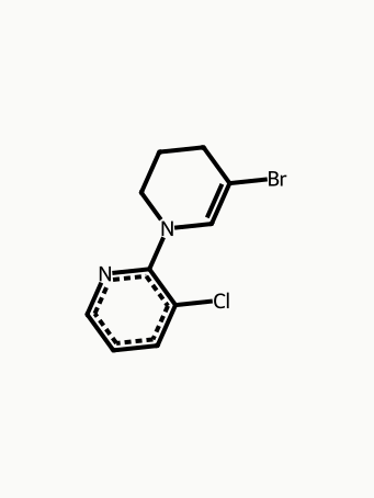 Clc1cccnc1N1C=C(Br)CCC1